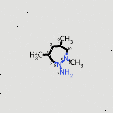 CC1CC(C)CN(N)N(C)C1